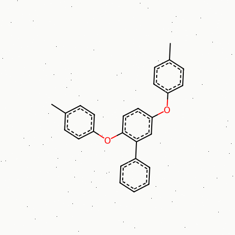 Cc1ccc(Oc2ccc(Oc3ccc(C)cc3)c(-c3ccccc3)c2)cc1